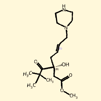 COC(=O)C[C@](O)(C/C=C/CN1CCNCC1)C(=O)C(C)(C)C